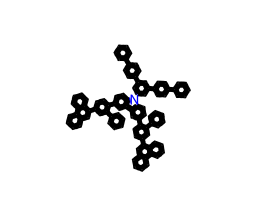 c1ccc(-c2ccc(-c3cc(-c4ccc(-c5ccccc5)cc4)cc(-n4c5ccc(-c6ccc(-c7cc8ccccc8c8ccccc78)cc6-c6ccccc6)cc5c5cc(-c6ccc(-c7cc8ccccc8c8ccccc78)cc6-c6ccccc6)ccc54)c3)cc2)cc1